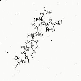 CC(=O)N[C@]12CC3CC[C@H](NC(=O)c4cnn(C5CC5)c4-n4cc(Cl)cn4)C(C1)C(C3)C2